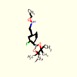 CCONCc1ccc(B2OC(C)(C)C(C)(C)O2)c(F)c1